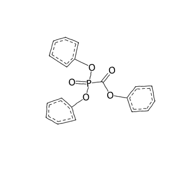 O=C(Oc1ccccc1)P(=O)(Oc1ccccc1)Oc1ccccc1